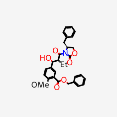 CCC(C(=O)N1C(=O)OC[C@@H]1Cc1ccccc1)C(O)c1ccc(OC)c(C(=O)OCc2ccccc2)c1